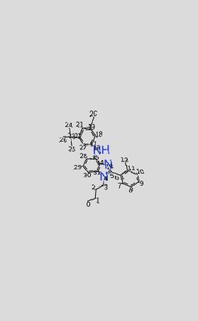 CCCCn1c(-c2ccccc2C)nc2c(Nc3cc(C)cc(C(C)(C)C)c3)cccc21